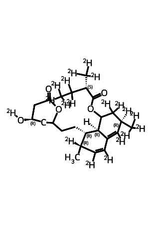 [2H]O[C@H]1CC(=O)OC(CC[C@@H]2[C@@H]3C(=C([2H])[C@]([2H])(C([2H])([2H])[2H])C([2H])([2H])C3OC(=O)[C@@H](C([2H])([2H])[2H])C([2H])([2H])C([2H])([2H])[2H])C([2H])=C([2H])[C@]2([2H])C)C1